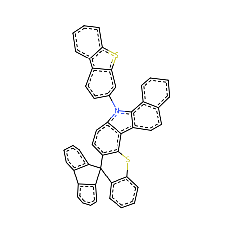 c1ccc2c(c1)Sc1c(ccc3c1c1ccc4ccccc4c1n3-c1ccc3c(c1)sc1ccccc13)C21c2ccccc2-c2ccccc21